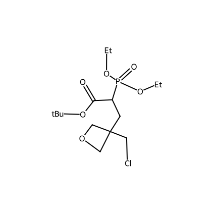 CCOP(=O)(OCC)C(CC1(CCl)COC1)C(=O)OC(C)(C)C